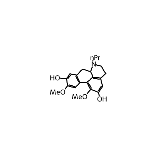 CCCN1CCc2cc(O)c(OC)c3c2C1Cc1cc(O)c(OC)cc1-3